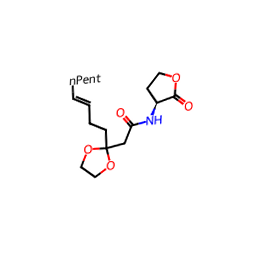 CCCCC/C=C/CCC1(CC(=O)N[C@H]2CCOC2=O)OCCO1